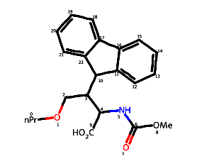 CCCOCC(C(NC(=O)OC)C(=O)O)C1c2ccccc2-c2ccccc21